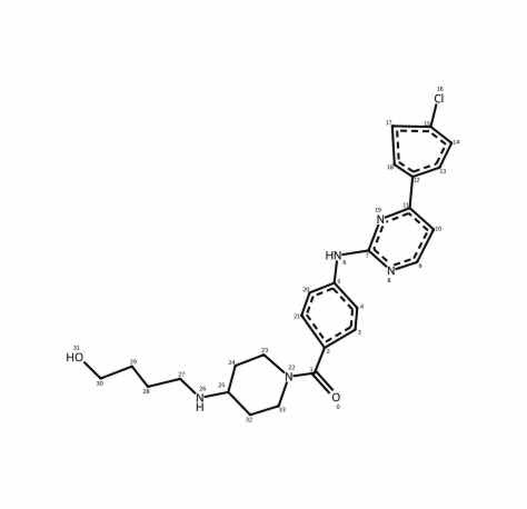 O=C(c1ccc(Nc2nccc(-c3ccc(Cl)cc3)n2)cc1)N1CCC(NCCCCO)CC1